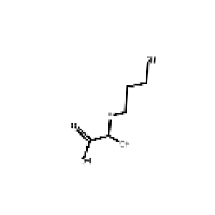 O=C(O)C(O)SCCCS